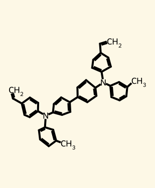 C=Cc1ccc(N(c2ccc(-c3ccc(N(c4ccc(C=C)cc4)c4cccc(C)c4)cc3)cc2)c2cccc(C)c2)cc1